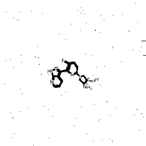 CCC[C@@H]1CN(c2ccc(F)c(-c3n[nH]c4ncccc34)n2)C[C@@H]1N